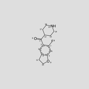 O=C(c1cc2c(cc1F)OCC2)C1CCNCC1